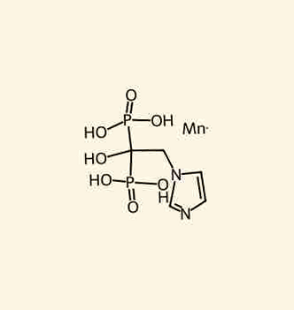 O=P(O)(O)C(O)(Cn1ccnc1)P(=O)(O)O.[Mn]